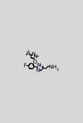 C=C(/C=N\C(=N/C)c1ccc(F)cc1Oc1cc(N(C)C)nn1C)CCN